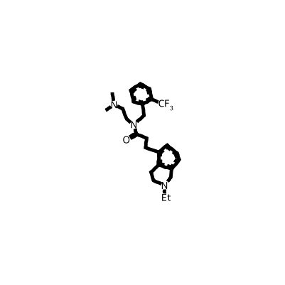 CCN1CCc2c(CCC(=O)N(CCN(C)C)Cc3ccccc3C(F)(F)F)cccc2C1